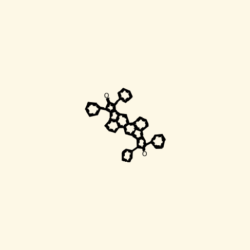 O=c1c(-c2ccccc2)c2c3cccc4c5cc6c7c(-c8ccccc8)c(=O)c(-c8ccccc8)c7c7cccc(c5cc(c2c1-c1ccccc1)c43)c76